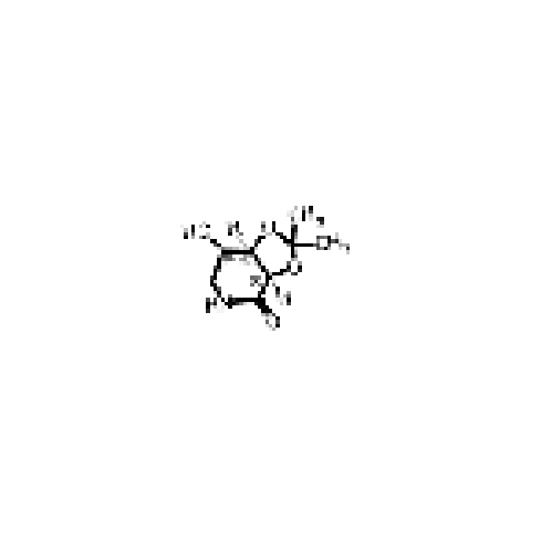 CC1(C)O[C@@H]2[C@H](O)CNC(=O)[C@@H]2O1